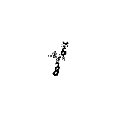 CCC(CC)OC(=O)CCc1ccc(C#N)c(OC[C@H](O)CN(C)C(C)CC2Cc3ccccc3C2)c1.O=C(O)C(F)(F)F